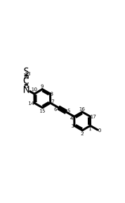 Cc1ccc(C#Cc2ccc(N=C=S)cc2)cc1